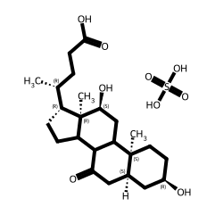 C[C@H](CCC(=O)O)[C@H]1CCC2C3C(=O)C[C@@H]4C[C@H](O)CC[C@]4(C)C3C[C@H](O)[C@@]21C.O=S(=O)(O)O